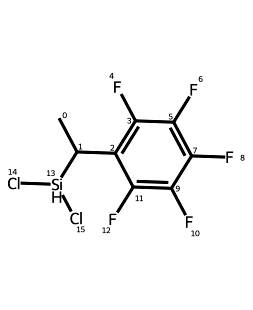 CC(c1c(F)c(F)c(F)c(F)c1F)[SiH](Cl)Cl